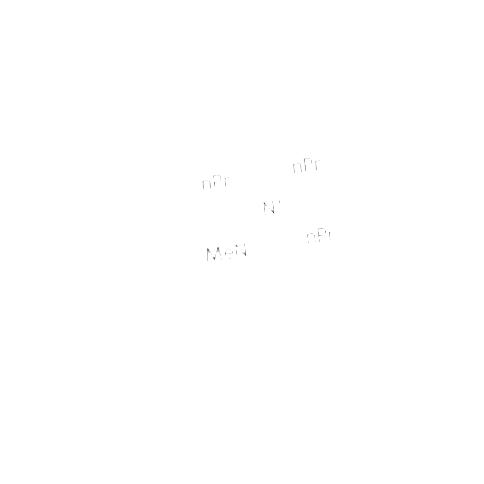 CCC[N+](CCC)(CCC)NC